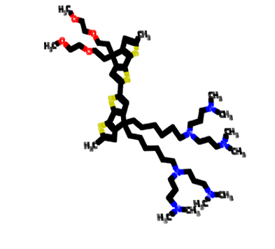 COCCOCCC1(CCOCCOC)c2cc(C)sc2-c2sc(-c3cc4c(s3)-c3sc(C)cc3C4(CCCCCCN(CCCN(C)C)CCCN(C)C)CCCCCCN(CCCN(C)C)CCCN(C)C)cc21